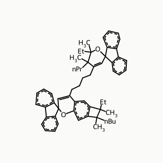 CCCCC1(C)c2cc3c(cc2C1(C)CC)C(CCCCC1=CC2(OC(C)(CC)C1(C)CCC)c1ccccc1-c1ccccc12)=CC1(O3)c2ccccc2-c2ccccc21